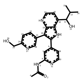 CC(=O)Nc1cc(-c2[nH]c3c(C(O)C(C)C)ccnc3c2-c2ccc(CO)nc2)ccn1